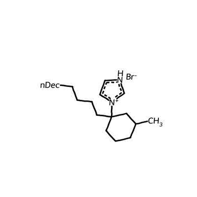 CCCCCCCCCCCCCCC1([n+]2cc[nH]c2)CCCC(C)C1.[Br-]